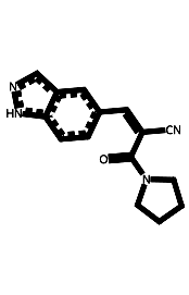 N#CC(=Cc1ccc2[nH]ncc2c1)C(=O)N1CCCC1